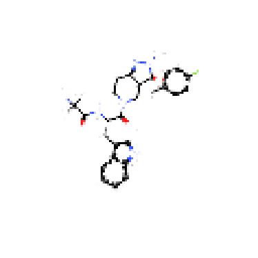 CN1N=C2CCN(C(=O)[C@@H](Cc3c[nH]c4ccccc34)NC(=O)C(C)(C)N)C[C@]2(Cc2ccc(F)cc2)C1=O